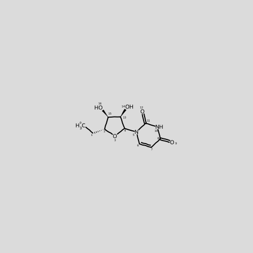 CC[C@H]1OC(n2ccc(=O)[nH]c2=O)[C@H](O)[C@@H]1O